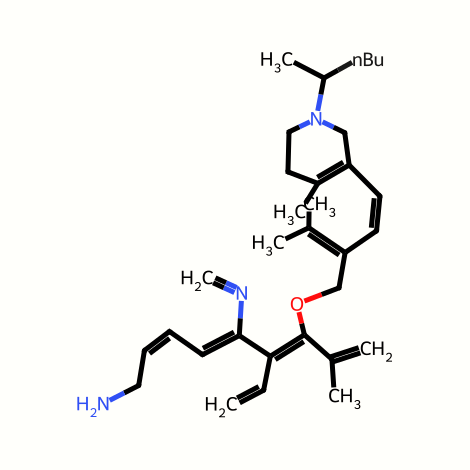 C=CC(/C(=C/C=C\CN)N=C)=C(/OCC(/C=C\C1=C(C)CCN(C(C)CCCC)C1)=C(C)C)C(=C)C